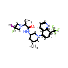 CC(C(=O)N[C@@H]1C[C@H](C)CN(c2ccc(C(F)(F)F)c3ncccc23)C1)N1CC(F)(I)C1